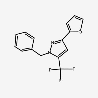 FC(F)(F)c1cc(-c2ccco2)nn1Cc1ccccc1